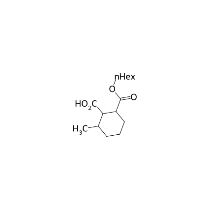 CCCCCCOC(=O)C1CCCC(C)C1C(=O)O